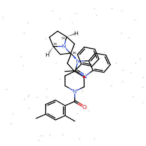 Cc1ccc(C(=O)N2CCC(CCN3[C@@H]4CC[C@H]3C[C@@H](n3c(C)nc5ccccc53)C4)(c3ccccc3)CC2)c(C)c1